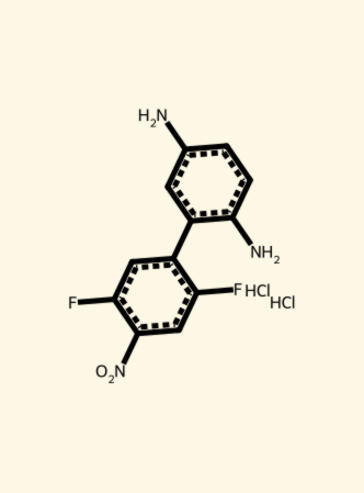 Cl.Cl.Nc1ccc(N)c(-c2cc(F)c([N+](=O)[O-])cc2F)c1